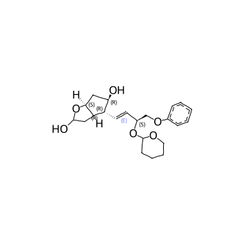 OC1C[C@@H]2[C@@H](/C=C/[C@@H](COc3ccccc3)OC3CCCCO3)[C@H](O)C[C@@H]2O1